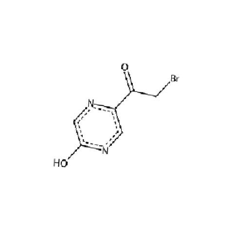 O=C(CBr)c1cnc(O)cn1